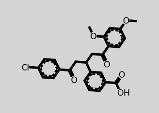 COc1ccc(C(=O)CC(CC(=O)c2ccc(Cl)cc2)c2cccc(C(=O)O)c2)c(OC)c1